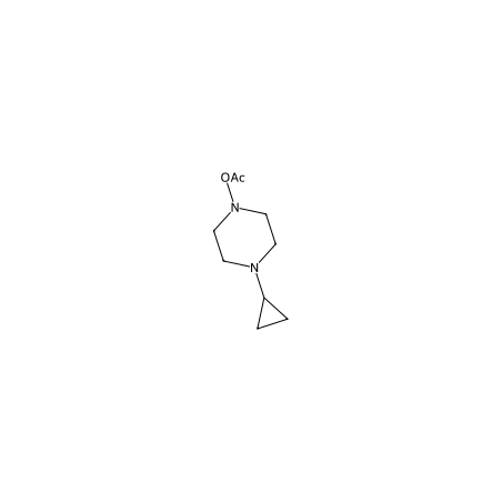 CC(=O)ON1CCN(C2CC2)CC1